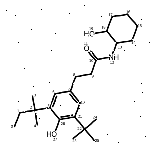 CCC(C)(C)c1cc(CCC(=O)NC2CCCCC2O)cc(C(C)(C)C)c1O